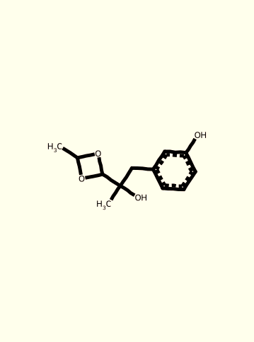 CC1OC(C(C)(O)Cc2cccc(O)c2)O1